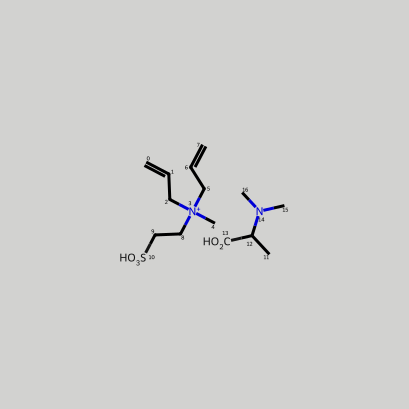 C=CC[N+](C)(CC=C)CCS(=O)(=O)O.CC(C(=O)O)N(C)C